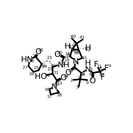 CC(C)(C)[C@H](NC(=O)C(F)(F)F)C(=O)N1C[C@H]2[C@@H]([C@H]1C(=O)N[C@@H](C[C@@H]1CCCNC1=O)C(O)C(=O)N1CCC1)C2(C)C